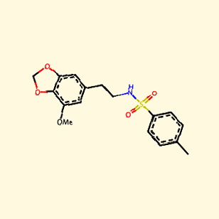 COc1cc(CCNS(=O)(=O)c2ccc(C)cc2)cc2c1OCO2